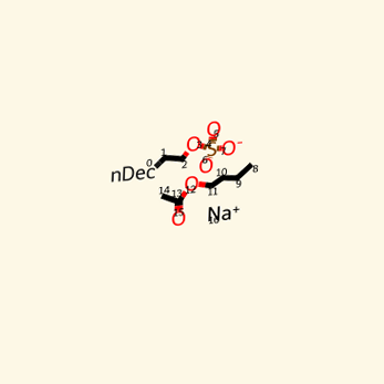 CCCCCCCCCCCCOS(=O)(=O)[O-].CCCCOC(C)=O.[Na+]